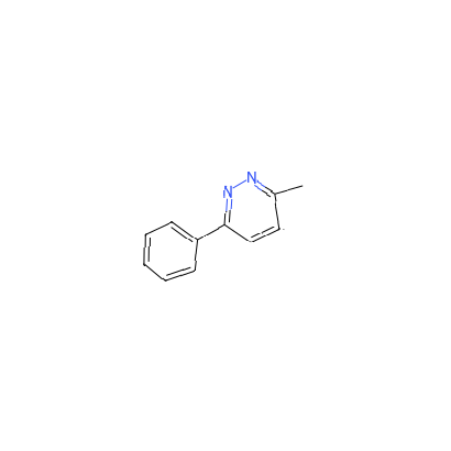 Cc1[c]cc(-c2ccccc2)nn1